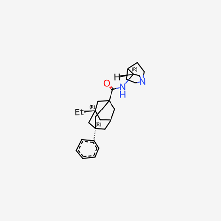 CC[C@]12CC3CC(C(=O)N[C@H]4CN5CCC4CC5)(C1)C[C@@](c1ccccc1)(C3)C2